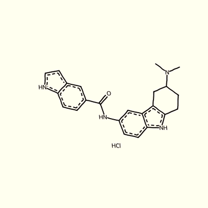 CN(C)C1CCc2[nH]c3ccc(NC(=O)c4ccc5[nH]ccc5c4)cc3c2C1.Cl